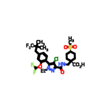 CCn1nc(C(=O)NC[C@]2(C(=O)O)CC[C@@H](S(C)(=O)=O)CC2)c(Cl)c1-c1ccc(CC(C)(C)C(F)(F)F)cc1OC(F)F